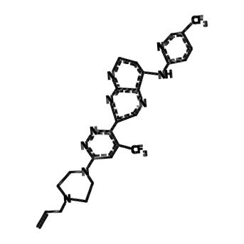 C=CCN1CCN(c2cc(C(F)(F)F)c(-c3cnc4c(Nc5ccc(C(F)(F)F)cn5)ccnc4n3)nn2)CC1